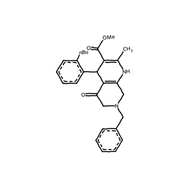 CCCCc1ccccc1C1C(C(=O)OC)=C(C)NC2=C1C(=O)CN(Cc1ccccc1)C2